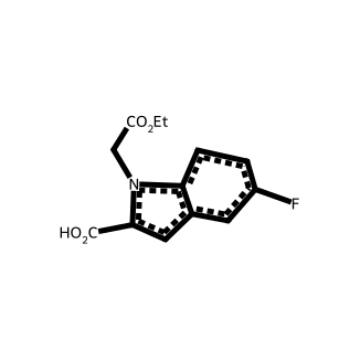 CCOC(=O)Cn1c(C(=O)O)cc2cc(F)ccc21